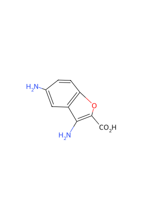 Nc1ccc2oc(C(=O)O)c(N)c2c1